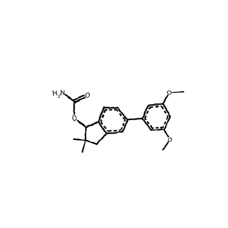 COc1cc(OC)cc(-c2ccc3c(c2)CC(C)(C)C3OC(N)=O)c1